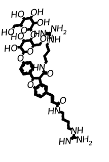 N=C(N)NCCCCNC(=O)C=Cc1ccc2c(c1)C(C(=O)NCCCCNC(=N)N)C(c1ccc(OC3OC(CO)C(OC4OC(CO)C(O)C(O)C4O)C(O)C3O)cc1)O2